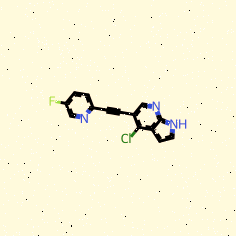 Fc1ccc(C#Cc2cnc3[nH]ccc3c2Cl)nc1